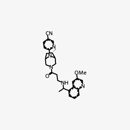 COc1cnc2cccc(C(C)NCCC(=O)N3CC4C[C@H](C)C(C3)N4c3ccc(C#N)cn3)c2c1